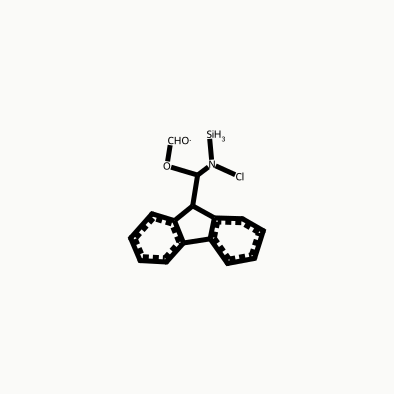 O=[C]OC(C1c2ccccc2-c2ccccc21)N([SiH3])Cl